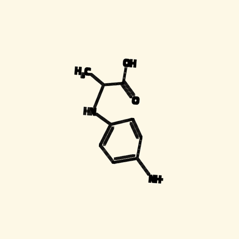 CC(Nc1ccc([NH])cc1)C(=O)O